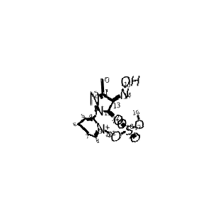 CC1=NN(c2cccc[n+]2C)C(=O)/C1=N/O.COS(=O)(=O)[O-]